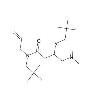 C=CCN(CC(C)(C)C)C(=O)CC(CNC)SCC(C)(C)C